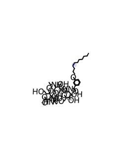 CCCCCC/C=C\CCCOc1cccc(C(=O)NC2[C@H](O[C@H]3C(O)C(NC(C)=O)C(OC4C(CO)O[C@@H](OC)[C@@H](NC(C)=O)[C@H]4O)O[C@H]3CO)OC(CO)[C@@H](O)[C@@H]2O)c1